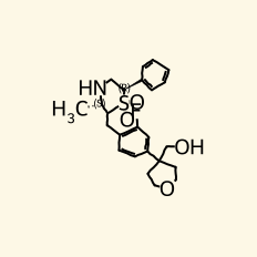 C[C@@H]1NC[C@@H](c2ccccc2)S(=O)(=O)C1Cc1ccc(C2(CO)CCOCC2)cc1F